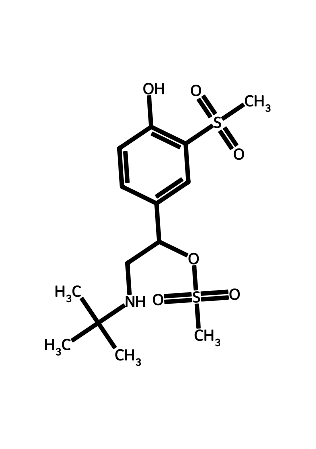 CC(C)(C)NCC(OS(C)(=O)=O)c1ccc(O)c(S(C)(=O)=O)c1